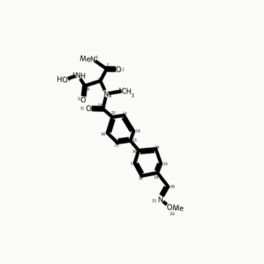 CNC(=O)C(C(=O)NO)N(C)C(=O)c1ccc(-c2ccc(C=NOC)cc2)cc1